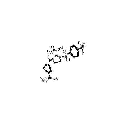 CC(=O)O.N=C(N)c1ccc(C(=O)N2CCN(S(=O)(=O)c3ccc(C(F)(F)F)cc3)CC2)cc1